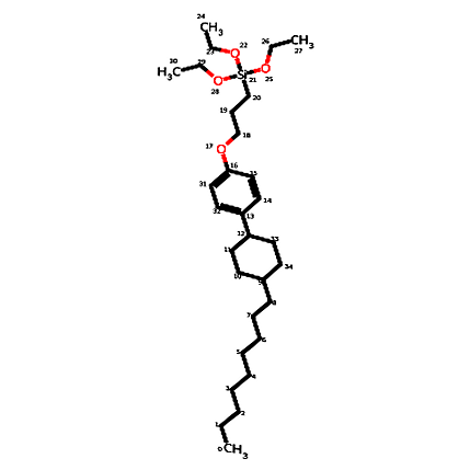 CCCCCCCCCC1CCC(c2ccc(OCCC[Si](OCC)(OCC)OCC)cc2)CC1